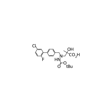 CC(C)(C)OC(=O)NN(Cc1ccc(-c2cc(Cl)ccc2F)cc1)CC(C)(O)C(=O)O